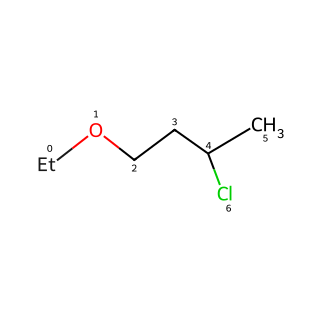 [CH2]COCCC(C)Cl